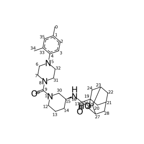 Cc1ccc(N2CCN(C(=O)N3CCC[C@H](NC(=O)C45CC6CC(C4)C(O)C(C6)C5)C3)CC2)c(C)c1